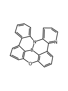 c1ccc2c(c1)-c1cccc3c1B1c4c(cccc4-c4ncccc4N12)O3